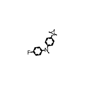 CN(c1ccc(F)cc1)c1ccc([Si](C)(C)C)cc1